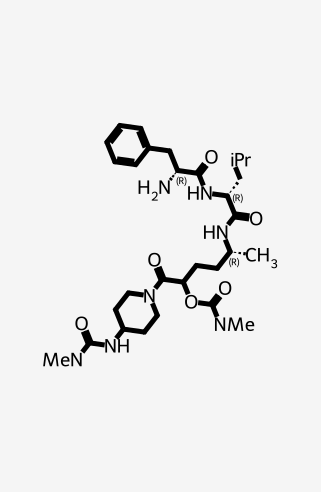 CNC(=O)NC1CCN(C(=O)C(CC[C@@H](C)NC(=O)[C@@H](CC(C)C)NC(=O)[C@H](N)Cc2ccccc2)OC(=O)NC)CC1